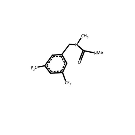 CNC(=O)N(C)Cc1cc(C(F)(F)F)cc(C(F)(F)F)c1